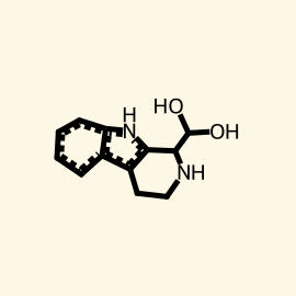 OC(O)C1NCCc2c1[nH]c1ccccc21